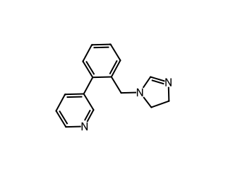 C1=NCCN1Cc1ccccc1-c1cccnc1